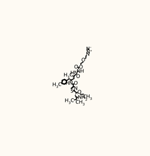 CCCO[C@H](C[C@@H](N)C(C)C)c1nc(C(=O)N[C@@H](Cc2ccc(C)cc2)C[C@H](C)C(=O)NNC(=O)OCCOCCN=[N+]=[N-])cs1